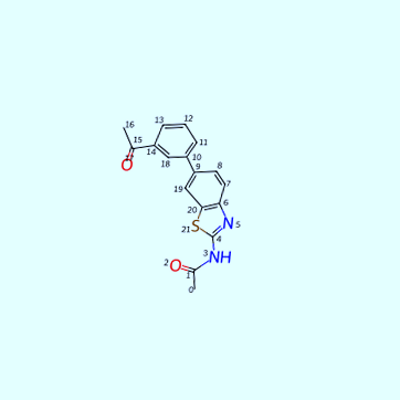 CC(=O)Nc1nc2ccc(-c3cccc(C(C)=O)c3)cc2s1